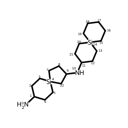 NC1CC[Si]2(CC1)CCC(NC1CC[Si]3(CCCCC3)CC1)C2